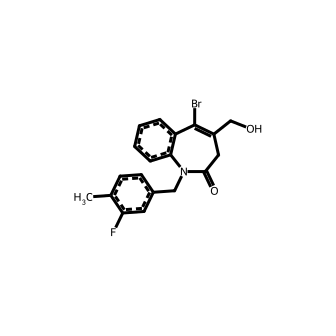 Cc1ccc(CN2C(=O)CC(CO)=C(Br)c3ccccc32)cc1F